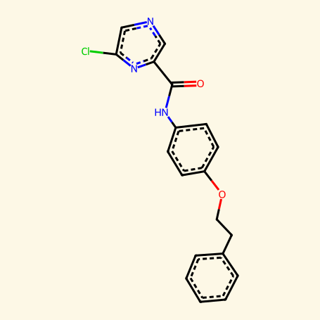 O=C(Nc1ccc(OCCc2ccccc2)cc1)c1cncc(Cl)n1